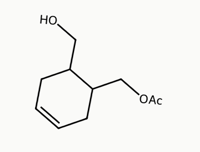 CC(=O)OCC1CC=CCC1CO